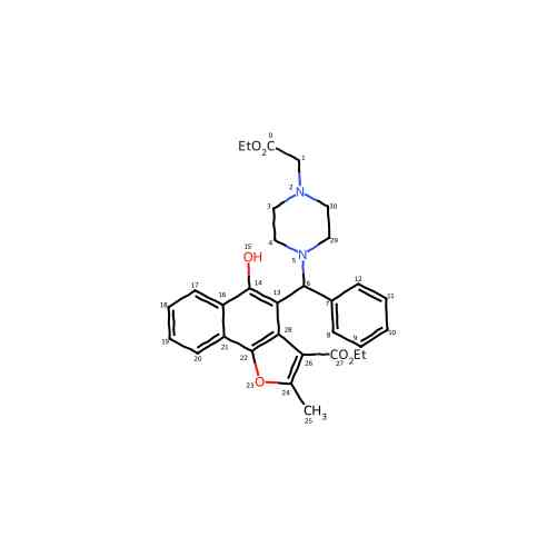 CCOC(=O)CN1CCN(C(c2ccccc2)c2c(O)c3ccccc3c3oc(C)c(C(=O)OCC)c23)CC1